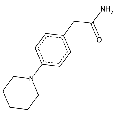 NC(=O)Cc1ccc(N2CCCCC2)cc1